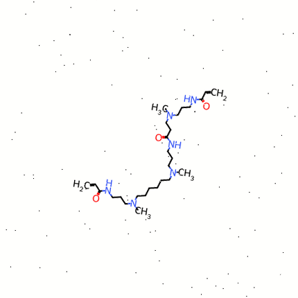 C=CC(=O)NCCCN(C)CCCCCCN(C)CCCNC(=O)CCN(C)CCCNC(=O)C=C